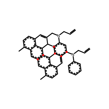 C=CCN(CC1=Cc2ccc(C)c3cccc(c23)C1OC1C(CN(CC=C)c2ccccc2)=Cc2ccc(C)c3cccc1c23)c1ccccc1